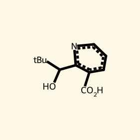 CC(C)(C)C(O)c1ncccc1C(=O)O